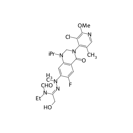 CCN(C=O)/C(CO)=N\N(C)c1cc2c(cc1F)C(=O)N(c1c(C)cnc(OC)c1Cl)CN2C(C)C